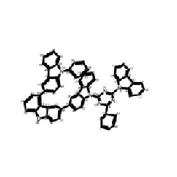 c1ccc(-c2nc(-n3c4ccccc4c4ccccc43)nc(-n3c4ccccc4c4cc(-c5ccc6oc7cccc(-c8ccc9c(c8)c8ccccc8n9-c8ccccc8)c7c6c5)ccc43)n2)cc1